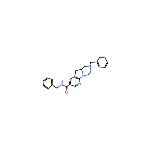 O=C(NCc1ccccc1)c1cnc2c(c1)CC1CN(Cc3ccccc3)CCN21